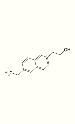 CCc1ccc2cc(CCO)ccc2c1